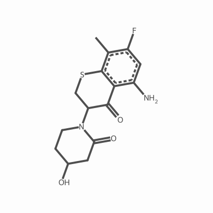 Cc1c(F)cc(N)c2c1SCC(N1CCC(O)CC1=O)C2=O